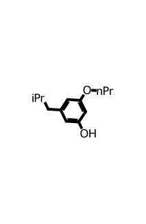 CCCOc1cc(O)cc(CC(C)C)c1